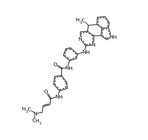 CC1c2cnc(Nc3cccc(NC(=O)c4ccc(NC(=O)/C=C/CN(C)C)cc4)c3)nc2-c2c[nH]c3cccc1c23